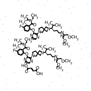 CCN(C(=O)c1cc(F)ccc1Oc1nncnc1N1CCC2(C1)CN([C@H](CCCNC(COC)COC)C(C)C)C2)C(C)C.CCN(C(=O)c1cc(F)ccc1Oc1nncnc1N1CCC2(C1)CN([C@H](CCCNC(COC)COC)C(C)C)C2)C(C)C.O=C(O)/C=C/C(=O)O